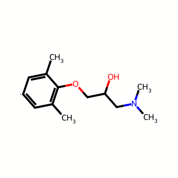 Cc1c[c]cc(C)c1OCC(O)CN(C)C